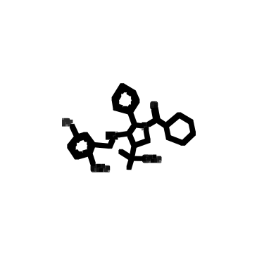 COc1ccc(C(C)C)cc1CNC1C(c2ccccc2)N(C(=O)C2CCCCC2)CC1C(C)(C)OC